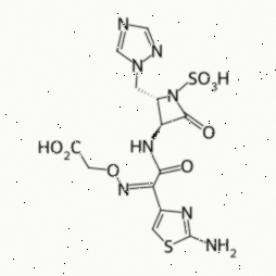 Nc1nc(C(=NOCC(=O)O)C(=O)N[C@@H]2C(=O)N(S(=O)(=O)O)[C@H]2Cn2cncn2)cs1